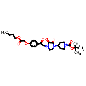 CCCCOC(=O)COc1ccc(C(=O)CN2CCN(C3CCN(C(=O)OC(C)(C)C)CC3)C(=O)C2=O)cc1